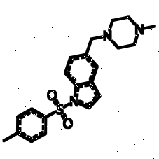 Cc1ccc(S(=O)(=O)n2ccc3cc(CN4CCN(C)CC4)ccc32)cc1